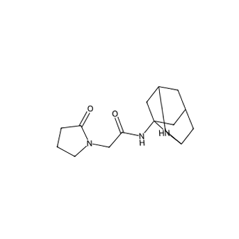 O=C(CN1CCCC1=O)NC12CC3CC(CC(C3)N1)C2